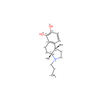 CCCN1CC[C@H]2c3ccc(O)c(O)c3CC[C@H]21